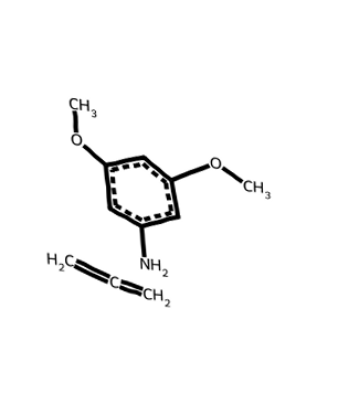 C=C=C.COc1cc(N)cc(OC)c1